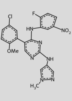 COc1ccc(Cl)cc1-c1cnc(Nc2cnn(C)c2)nc1Nc1cc([N+](=O)[O-])ccc1F